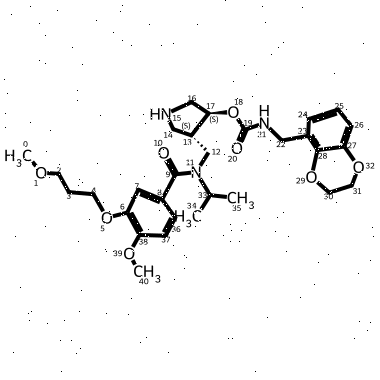 COCCCOc1cc(C(=O)N(C[C@@H]2CNC[C@H]2OC(=O)NCc2cccc3c2OCCO3)C(C)C)ccc1OC